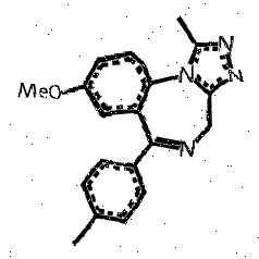 COc1ccc2c(c1)C(c1ccc(C)cc1)=NCc1nnc(C)n1-2